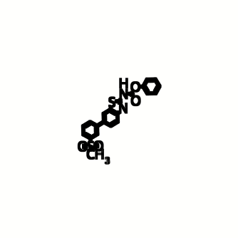 CS(=O)(=O)c1cccc(-c2ccc3nc(NC(=O)Oc4ccccc4)sc3c2)c1